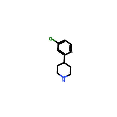 Clc1cc[c]c(C2CCNCC2)c1